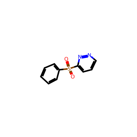 O=S(=O)(c1ccccc1)c1cccnn1